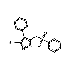 CC(C)c1noc(NS(=O)(=O)c2ccccc2)c1-c1ccccc1